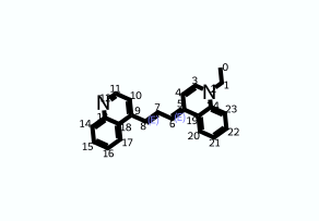 CCN1C=C/C(=C\C=C\c2ccnc3ccccc23)c2ccccc21